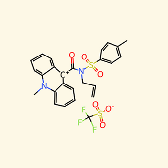 C=CCN(C(=O)[c+]1c2ccccc2n(C)c2ccccc21)S(=O)(=O)c1ccc(C)cc1.O=S(=O)([O-])C(F)(F)F